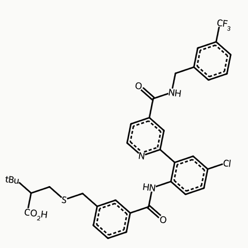 CC(C)(C)C(CSCc1cccc(C(=O)Nc2ccc(Cl)cc2-c2cc(C(=O)NCc3cccc(C(F)(F)F)c3)ccn2)c1)C(=O)O